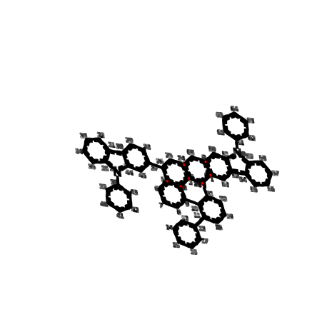 c1ccc(-c2ccccc2-c2c(-c3ccccc3)cccc2N(c2ccc(-c3ccc4c5ccccc5n(-c5ccccc5)c4c3)cc2)c2ccc3c(c2)c2ccccc2n3-c2ccccc2)cc1